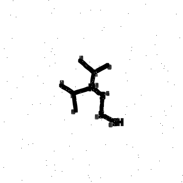 CC(C)N(SSS)C(C)C